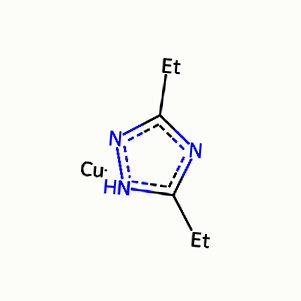 CCc1n[nH]c(CC)n1.[Cu]